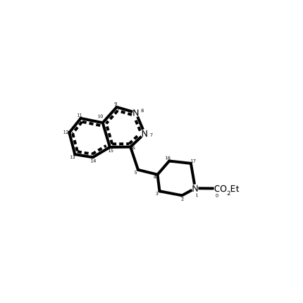 CCOC(=O)N1CCC(Cc2nncc3ccccc23)CC1